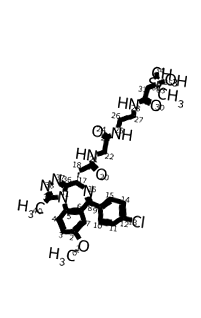 COc1ccc2c(c1)C(c1ccc(Cl)cc1)=N[C@@H](CC(=O)NCC(=O)NCCNC(=O)C[Si](C)(C)O)c1nnc(C)n1-2